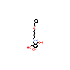 OCc1ccc(O)c(CO)c1CNCCCCCCOCCC1CCCC1